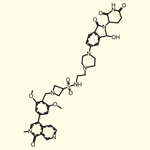 COc1cc(-c2cn(C)c(=O)c3cnccc23)cc(OC)c1CN1CC(S(=O)(=O)NCCN2CCN(c3ccc4c(c3)C(O)N(C3CCC(=O)NC3=O)C4=O)CC2)C1